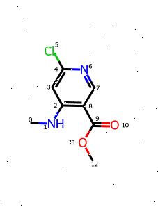 CNc1cc(Cl)ncc1C(=O)OC